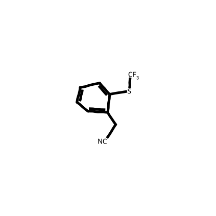 N#CCc1ccccc1SC(F)(F)F